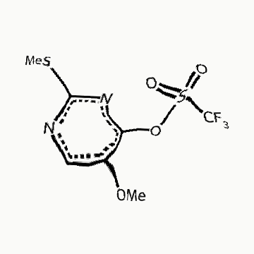 COc1cnc(SC)nc1OS(=O)(=O)C(F)(F)F